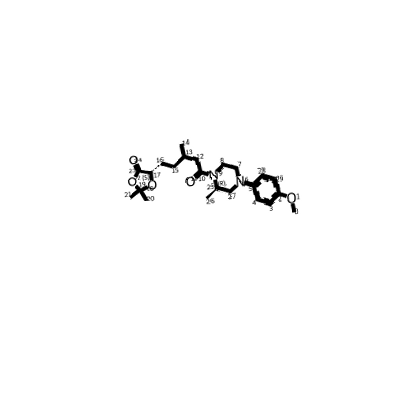 COc1ccc(N2CCN(C(=O)CC(C)CC[C@@H]3OC(C)(C)OC3=O)[C@H](C)C2)cc1